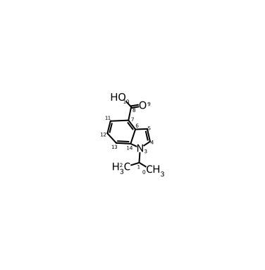 CC(C)n1ccc2c(C(=O)O)cccc21